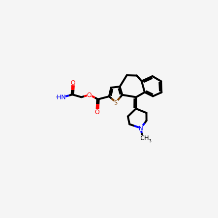 CN1CCC(=C2c3ccccc3CCc3cc(C(=O)OCC([NH])=O)sc32)CC1